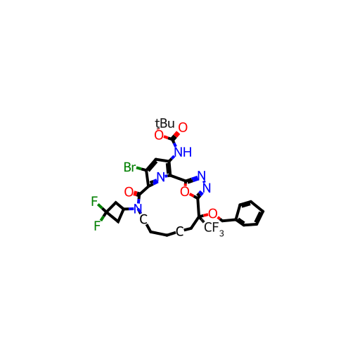 CC(C)(C)OC(=O)Nc1cc(Br)c2nc1-c1nnc(o1)C(OCc1ccccc1)(C(F)(F)F)CCCCCN(C1CC(F)(F)C1)C2=O